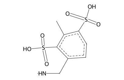 Cc1c(S(=O)(=O)O)ccc(C[NH])c1S(=O)(=O)O